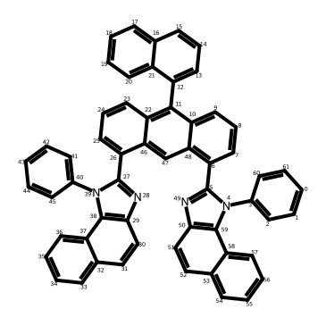 c1ccc(-n2c(-c3cccc4c(-c5cccc6ccccc56)c5cccc(-c6nc7ccc8ccccc8c7n6-c6ccccc6)c5cc34)nc3ccc4ccccc4c32)cc1